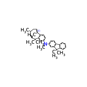 C/C1=C\CC(C)C=CC(C)(C)c2cc(N(C)c3ccc4c(c3)C(C)(C)c3ccccc3-4)ccc21